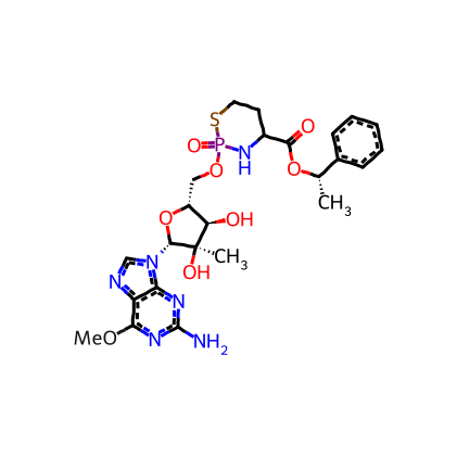 COc1nc(N)nc2c1ncn2[C@@H]1O[C@H](COP2(=O)NC(C(=O)O[C@@H](C)c3ccccc3)CCS2)[C@@H](O)[C@@]1(C)O